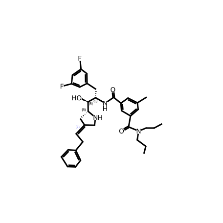 CCCN(CCC)C(=O)c1cc(C)cc(C(=O)N[C@@H](Cc2cc(F)cc(F)c2)[C@H](O)[C@H]2C/C(=C/Cc3ccccc3)CN2)c1